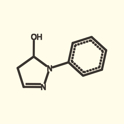 OC1CC=NN1c1ccccc1